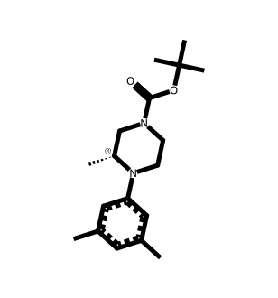 Cc1cc(C)cc(N2CCN(C(=O)OC(C)(C)C)C[C@H]2C)c1